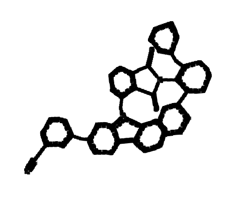 N#Cc1cccc(-c2ccc3c4ccccc4n(-c4cccc5c4C(=O)N(c4c(-c6ccccc6)cccc4-c4ccccc4)C5=O)c3c2)c1